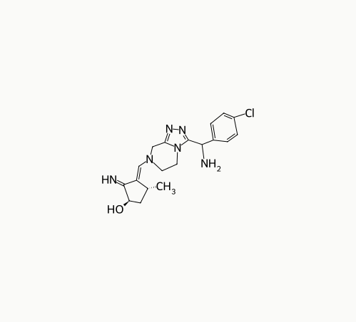 C[C@@H]1C[C@@H](O)C(=N)/C1=C/N1CCn2c(nnc2C(N)c2ccc(Cl)cc2)C1